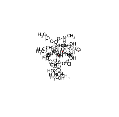 CCCNCCOc1cc(NC(=O)NC(=O)C[C@@H]2CC(=O)[C@H](NC(=O)[C@H](CC)CC(C)C)[C@H](O)c3ccc(c(Cl)c3)Oc3cc4cc(c3O[C@@H]3O[C@H](CO)[C@@H](O)[C@H](O)[C@H]3O[C@H]3C[C@](C)(N)[C@H](O)[C@H](C)O3)Oc3ccc(cc3Cl)[C@@H](O)[C@@H]3NC(=O)[C@H](CC(=O)[C@@H]4NC2=O)c2ccc(O)c(c2)-c2c(O)cc(O)cc2[C@@H](C(=O)CC2C4CC5CC(C4)CC2C5)NC3=O)cc(OCCCNCC)c1